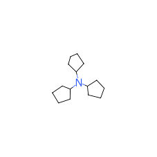 C1CCC(N(C2CCCC2)C2CCCC2)C1